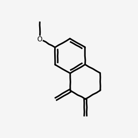 C=C1CCc2ccc(OC)cc2C1=C